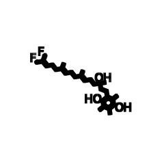 C/C(=C\CC/C(C)=C/CCC(C)(O)CCc1c(C)c(O)c(C)c(C)c1O)CCC=C(CF)CF